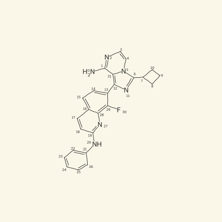 Nc1nccn2c(C3CCC3)nc(-c3ccc4ccc(Nc5ccccc5)nc4c3F)c12